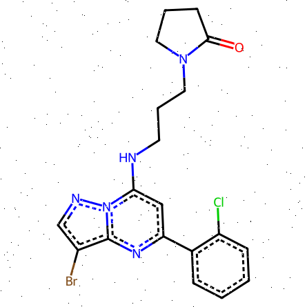 O=C1CCCN1CCCNc1cc(-c2ccccc2Cl)nc2c(Br)cnn12